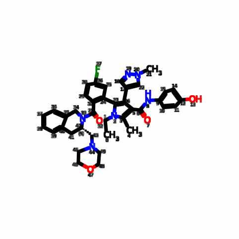 CCn1c(C)c(C(=O)Nc2ccc(O)cc2)c(-c2cnn(C)c2)c1-c1cc(F)ccc1C(=O)N1Cc2ccccc2C[C@H]1CN1CCOCC1